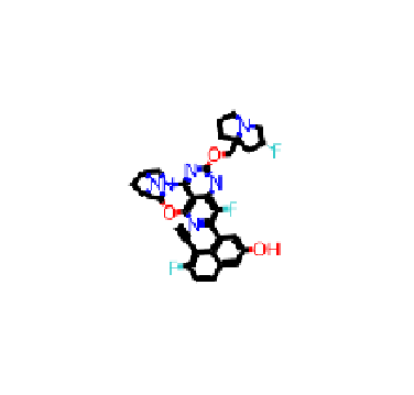 C#Cc1c(F)ccc2cc(O)cc(-c3nc4c5c(nc(OCC67CCCN6C[C@H](F)C7)nc5c3F)N3CC5CC(N5)C3O4)c12